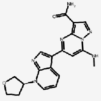 CNc1cc(-c2cnc3n([C@H]4CCOC4)cccc2-3)nc2c(C(N)=O)cnn12